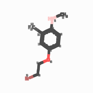 CBc1ccc(OCCBr)cc1C(F)(F)F